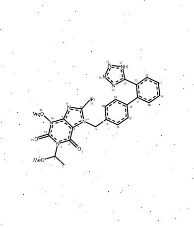 COC(C)n1c(=O)c2c(nc(C(C)C)n2Cc2ccc(-c3ccccc3-c3nnn[nH]3)cc2)n(OC)c1=O